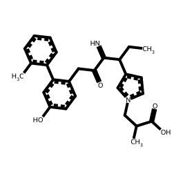 CCC(C(=N)C(=O)Cc1ccc(O)cc1-c1ccccc1C)c1ccn(CC(C)C(=O)O)c1